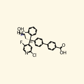 Cc1ccccc1[C@@](C/C=N/O)(c1ccc(-c2ccc(C(=O)O)cc2)cc1)c1cc(Cl)ncc1F